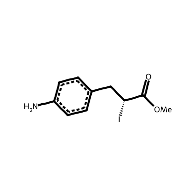 COC(=O)[C@H](I)Cc1ccc(N)cc1